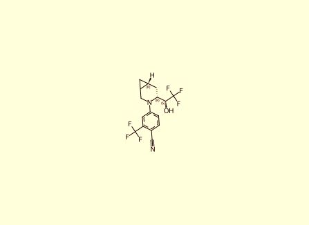 N#Cc1ccc(N2CC3C[C@@H]3C[C@@H]2[C@H](O)C(F)(F)F)cc1C(F)(F)F